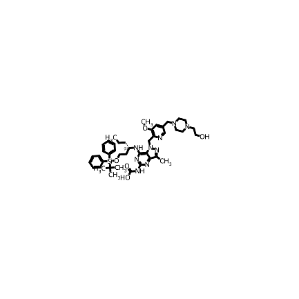 CCC[C@@H](CCO[Si](c1ccccc1)(c1ccccc1)C(C)(C)C)Nc1nc(NC(=O)O)nc2c(C)nn(Cc3ncc(CN4CCN(CCO)CC4)cc3OC)c12